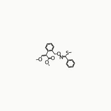 COC=C(C(=O)OC)c1ccccc1CON=C(SC)c1ccccc1